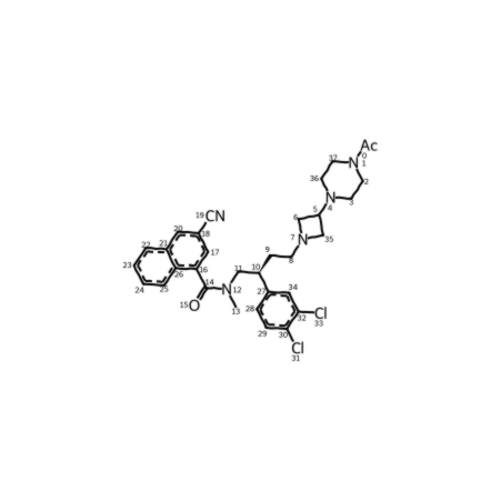 CC(=O)N1CCN(C2CN(CC[C@H](CN(C)C(=O)c3cc(C#N)cc4ccccc34)c3ccc(Cl)c(Cl)c3)C2)CC1